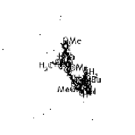 C=CCOC(=O)N1C[C@@H]2CC(c3ccc(OC)cc3)=CN2C(=O)c2cc(OC)c(OCCCCCOc3cc4c(cc3OC)C(=O)N3[C@@H](C[C@@H]5C[C@@H]53)C(O[Si](C)(C)C(C)(C)C)N4C(=O)OCC=C)cc21